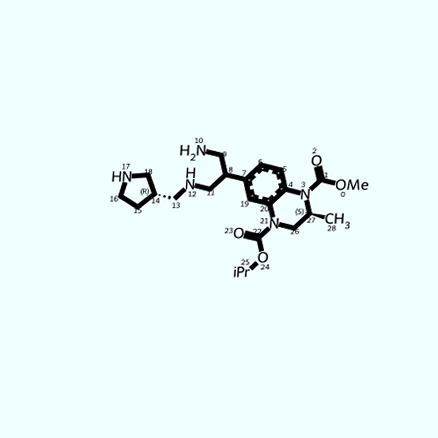 COC(=O)N1c2ccc(C(CN)CNC[C@@H]3CCNC3)cc2N(C(=O)OC(C)C)C[C@@H]1C